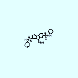 O=S(=O)(NC1CCCCC1)c1ccc2c(c1)/C(=N\O)c1cc(S(=O)(=O)NC3CCOCC3)ccc1-2